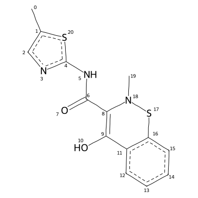 Cc1cnc(NC(=O)C2=C(O)c3ccccc3SN2C)s1